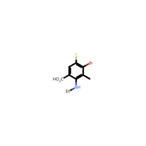 CCNc1c(C(=O)O)cc(F)c(Br)c1C